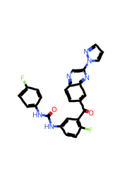 O=C(Nc1ccc(F)cc1)Nc1ccc(F)c(C(=O)c2ccc3ncc(-n4cccn4)nc3c2)c1